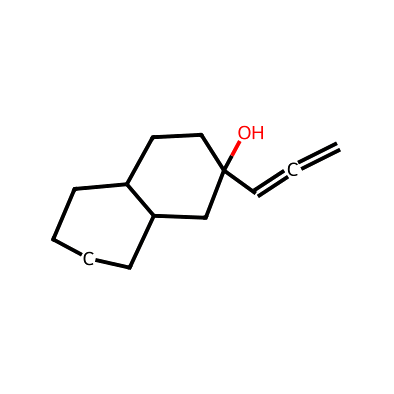 C=C=CC1(O)CCC2CCCCC2C1